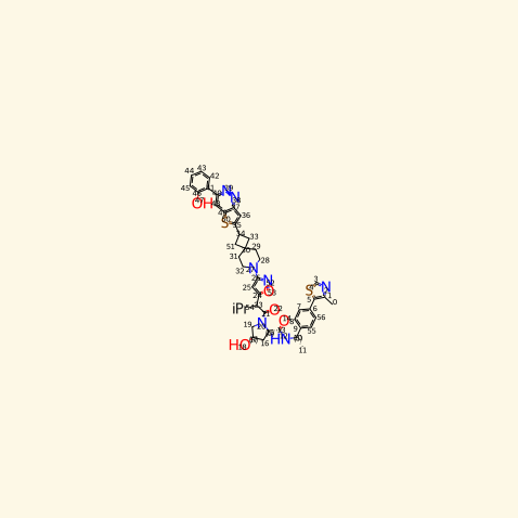 Cc1ncsc1-c1ccc([C@H](C)NC(=O)[C@@H]2C[C@@H](O)CN2C(=O)C(c2cc(N3CCC4(CC3)CC(c3cc5nnc(-c6ccccc6O)cc5s3)C4)no2)C(C)C)cc1